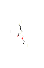 C=CC(=O)O.SCCCCSCCCCS